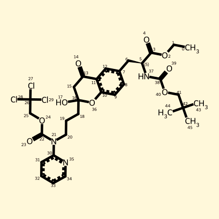 CCOC(=O)[C@H](Cc1ccc2c(c1)C(=O)CC(O)(CCCN(C(=O)OCC(Cl)(Cl)Cl)c1ccccn1)O2)NC(=O)OCC(C)(C)C